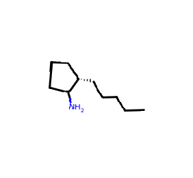 CCCCC[C@H]1CCCC1N